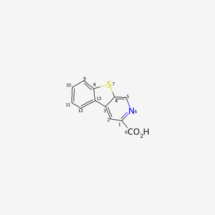 O=C(O)c1cc2c(cn1)sc1ccccc12